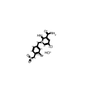 Cl.N=c1c(C(N)=O)cc(Cl)cn1Cc1ccc(C[SH](=O)=O)c(Br)c1